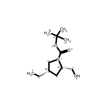 CC[C@H]1C[C@@H](CO)N(C(=O)OC(C)(C)C)C1